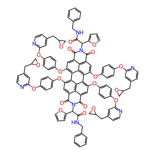 O=C(NCc1ccccc1)C(c1ccco1)N1C(=O)c2cc(Oc3ccc(Oc4cc(CC5CO5)ccn4)cc3)c3c4c(Oc5ccc(Oc6cc(CC7CO7)ccn6)cc5)cc5c6c(cc(Oc7ccc(Oc8cc(CC9CO9)ccn8)cc7)c(c7c(Oc8ccc(Oc9cc(CC%10CO%10)ccn9)cc8)cc(c2c37)C1=O)c64)C(=O)N(C(C(=O)NCc1ccccc1)c1ccco1)C5=O